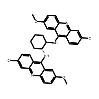 COc1ccc2nc3cc(Cl)ccc3c(N[C@@H]3CCCC[C@H]3Nc3c4ccc(Cl)cc4nc4ccc(OC)cc34)c2c1